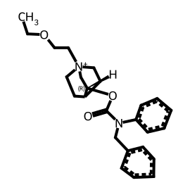 CCOCC[N+]12CCC(CC1)[C@@H](OC(=O)N(Cc1ccccc1)c1ccccc1)C2